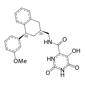 COc1cccc([C@@H]2C[C@H](CNC(=O)c3[nH]c(=O)[nH]c(=O)c3O)Cc3ccccc32)c1